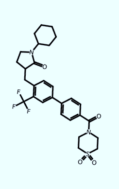 O=C(c1ccc(-c2ccc(CC3CCN(C4CCCCC4)C3=O)c(C(F)(F)F)c2)cc1)N1CCS(=O)(=O)CC1